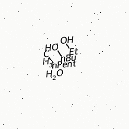 CCCCCC.CCCCO.CCO.O